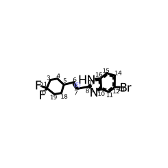 FC1(F)CCC(/C=C/c2nc3cc(Br)ccc3[nH]2)CC1